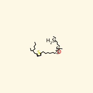 CCCCC(CC)Cc1ccc(CCCCCC[Si](C)(C)O[Si](C)(C)CCC[SiH2]CC)s1